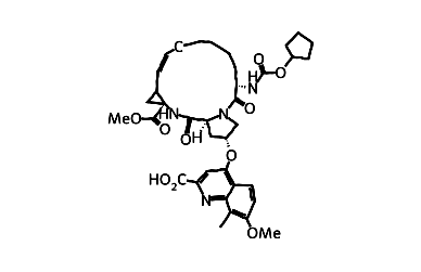 COC(=O)[C@@]12CC1/C=C\CCCCC[C@H](NC(=O)OC1CCCC1)C(=O)N1C[C@H](Oc3cc(C(=O)O)nc4c(C)c(OC)ccc34)C[C@H]1C(=O)N2